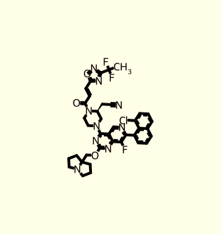 CC(F)(F)c1noc(/C=C/C(=O)N2CCN(c3nc(OCC45CCCN4CCC5)nc4c(F)c(-c5cccc6cccc(Cl)c56)ncc34)C[C@@H]2CC#N)n1